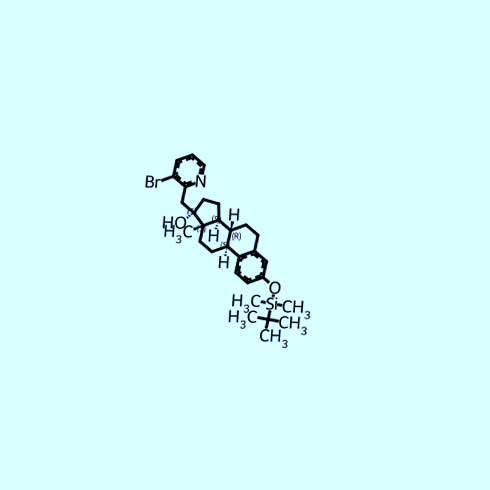 CC(C)(C)[Si](C)(C)Oc1ccc2c(c1)CC[C@@H]1[C@@H]2CC[C@@]2(C)[C@H]1CC[C@]2(O)Cc1ncccc1Br